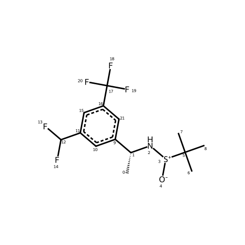 C[C@@H](N[S+]([O-])C(C)(C)C)c1cc(C(F)F)cc(C(F)(F)F)c1